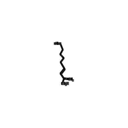 C=C(C=CCCCCCCCCCC)C(=O)O